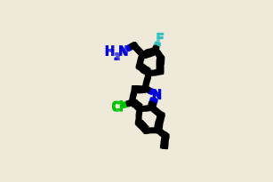 C=Cc1ccc2c(Cl)cc(-c3ccc(F)c(CN)c3)nc2c1